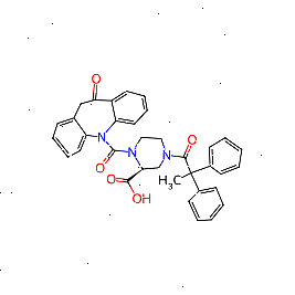 CC(C(=O)N1CCN(C(=O)N2c3ccccc3CC(=O)c3ccccc32)[C@H](C(=O)O)C1)(c1ccccc1)c1ccccc1